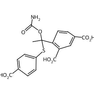 CC(OC(N)=O)(Sc1ccc(C(=O)O)cc1)c1ccc(C(=O)O)cc1C(=O)O